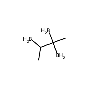 BC(C)C(B)(B)C